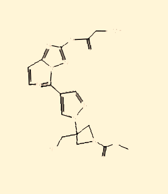 COCC(=O)Nc1nc2ccnc(-c3cnn(C4(CC#N)CN(C(=O)OC(C)(C)C)C4)c3)n2n1